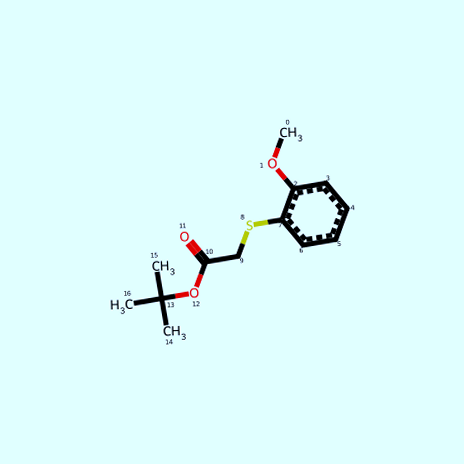 COc1ccccc1SCC(=O)OC(C)(C)C